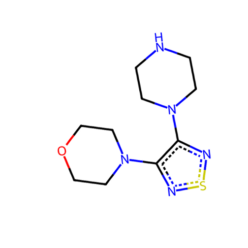 C1CN(c2nsnc2N2CCOCC2)CCN1